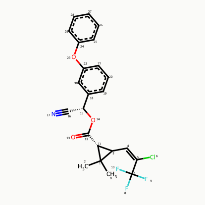 CC1(C)C(/C=C(/Cl)C(F)(F)F)[C@H]1C(=O)O[C@H](C#N)c1cccc(Oc2ccccc2)c1